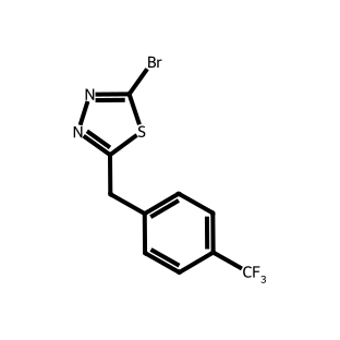 FC(F)(F)c1ccc(Cc2nnc(Br)s2)cc1